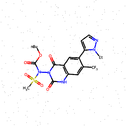 CCCCOC(=O)N(n1c(=O)[nH]c2cc(C(F)(F)F)c(-c3ccnn3CC)cc2c1=O)S(C)(=O)=O